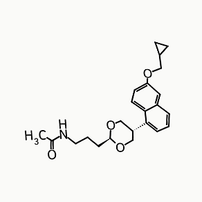 CC(=O)NCCC[C@H]1OC[C@H](c2cccc3cc(OCC4CC4)ccc32)CO1